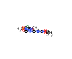 COc1cc(N2CCN(C3CCN(C(=O)OC(C)(C)C)CC3)CC2)ccc1Nc1ncc(Cl)c(Nc2ccccc2N(C)S(C)(=O)=O)n1